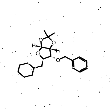 CC1(C)O[C@H]2O[C@H](CC3CCCCC3)[C@@H](OCc3ccccc3)[C@H]2O1